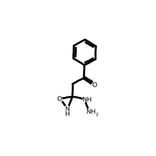 NNC1(CC(=O)c2ccccc2)NO1